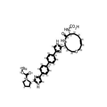 CC(C)(C)OC(=O)N1CCC[C@H]1c1nc(-c2ccc(-c3ccc(-c4c[nH]c([C@@H]5CCOC/C=C\CC[C@@H](NC(=O)O)C(=O)N5)n4)cc3)cc2)c[nH]1